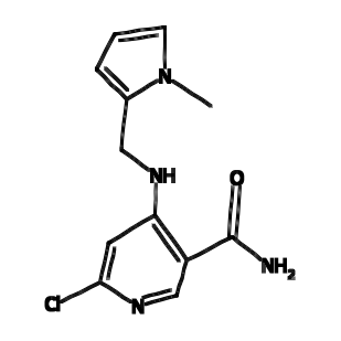 Cn1cccc1CNc1cc(Cl)ncc1C(N)=O